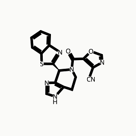 N#Cc1ncoc1C(=O)N1CCc2[nH]cnc2[C@H]1c1nc2ccccc2s1